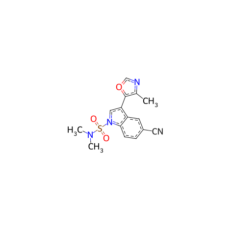 Cc1ncoc1-c1cn(S(=O)(=O)N(C)C)c2ccc(C#N)cc12